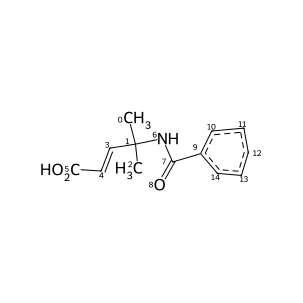 CC(C)(/C=C/C(=O)O)NC(=O)c1ccccc1